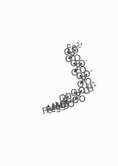 O=P([O-])([O-])[O-].O=P([O-])([O-])[O-].O=P([O-])([O-])[O-].O=P([O-])([O-])[O-].O=P([O-])([O-])[O-].[Fe+2].[Fe+2].[Fe+2].[Li+].[Li+].[Li+].[Mg+2].[Mg+2].[Mg+2]